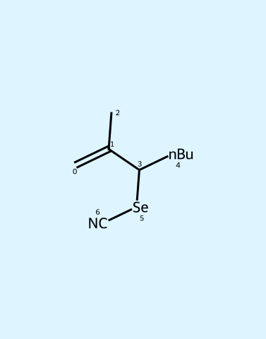 C=C(C)C(CCCC)[Se]C#N